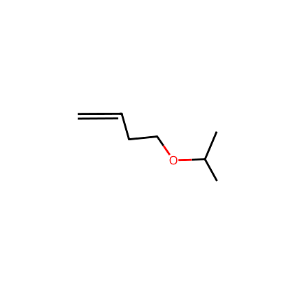 C=CCCOC(C)C